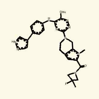 COc1nnc(N2CCc3cc(C(=O)N4CC(C)(F)C4)n(C)c3C2)nc1Nc1ccc(-c2cn[nH]c2)cc1